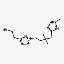 Cn1ccc(CC(C)(C)CCn2ccc(CCC(C)(C)C)n2)n1